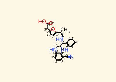 C[C@@H](CN[C@H](c1ccccc1)[C@H]1CNc2cccc(C#N)c2N1)c1ccc(CC(=O)O)o1